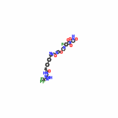 CC(C)(c1n[nH]c(CNC(=O)[C@H]2C[C@@H]2c2ccc(-c3ccc(-c4cnn(CC(=O)N5CC[C@H](OC6CCN(c7cc8c(cc7F)C(=O)N(C7CCC(=O)NC7=O)C8=O)CC6)C5)c4)cc3)cc2)n1)C(F)(F)F